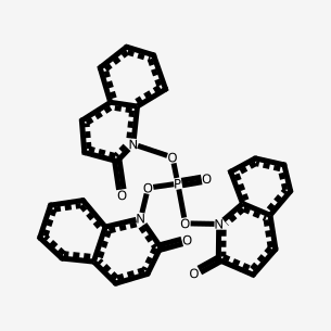 O=c1ccc2ccccc2n1OP(=O)(On1c(=O)ccc2ccccc21)On1c(=O)ccc2ccccc21